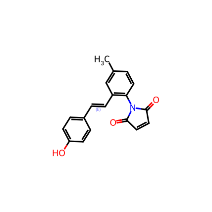 Cc1ccc(N2C(=O)C=CC2=O)c(/C=C/c2ccc(O)cc2)c1